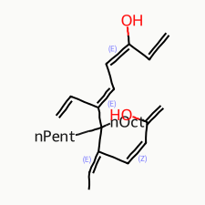 C=C/C(O)=C\C=C(/C=C)C(CCCCC)(CCCCCCCC)C(/C=C\C(=C)O)=C/C